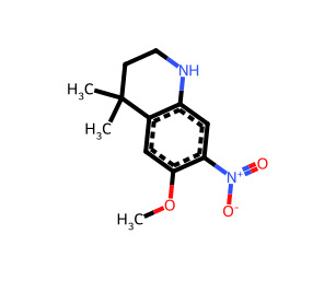 COc1cc2c(cc1[N+](=O)[O-])NCCC2(C)C